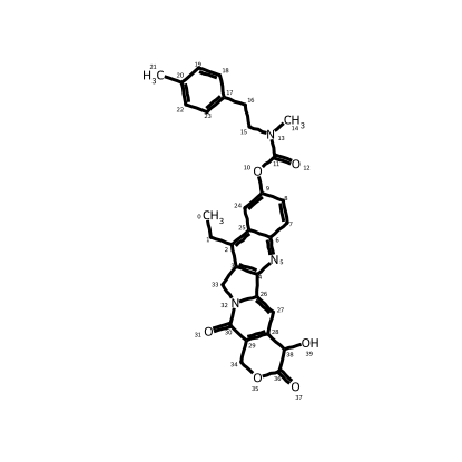 CCc1c2c(nc3ccc(OC(=O)N(C)CCc4ccc(C)cc4)cc13)-c1cc3c(c(=O)n1C2)COC(=O)C3O